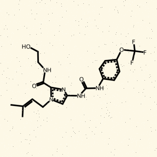 CC(C)=CCn1cc(NC(=O)Nc2ccc(OC(F)(F)F)cc2)nc1C(=O)NCCO